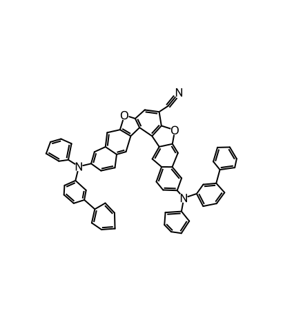 N#Cc1cc2oc3cc4cc(N(c5ccccc5)c5cccc(-c6ccccc6)c5)ccc4cc3c2c2c1oc1cc3cc(N(c4ccccc4)c4cccc(-c5ccccc5)c4)ccc3cc12